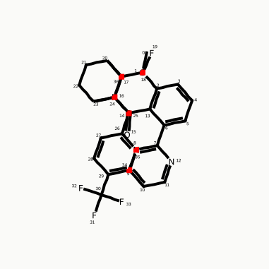 COc1cccc(-c2ncccn2)c1C(=O)N1C(CF)C2CCC1C(Oc1ccc(C(F)(F)F)cn1)C2